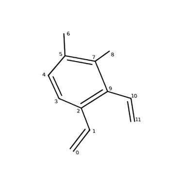 C=Cc1ccc(C)c(C)c1C=C